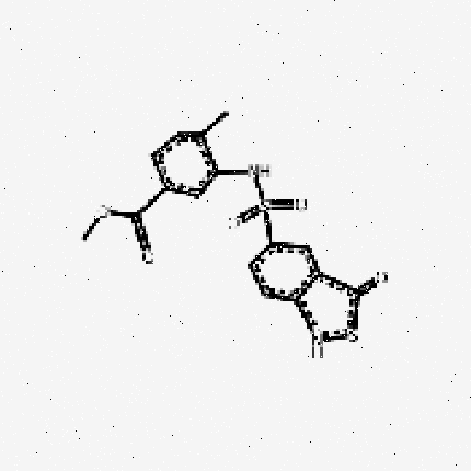 COC(=O)c1ccc(C)c(NS(=O)(=O)c2ccc3[nH]sc(=O)c3c2)c1